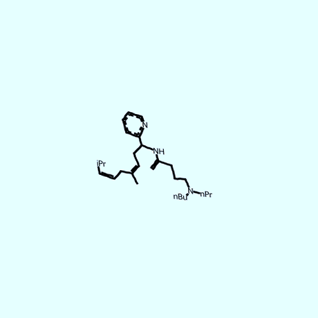 C=C(CCCN(CCC)CCCC)NC(C/C=C(/C)C/C=C\C(C)C)c1ccccn1